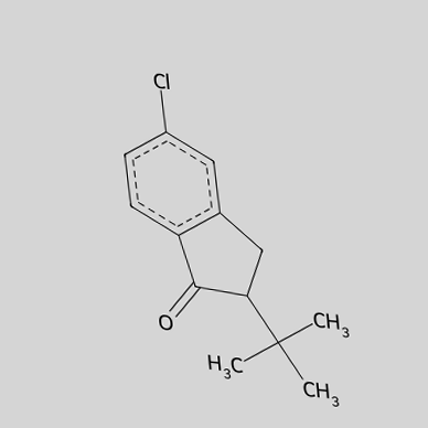 CC(C)(C)C1Cc2cc(Cl)ccc2C1=O